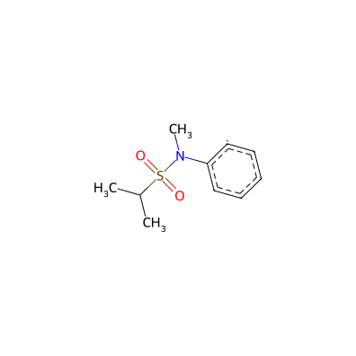 CC(C)S(=O)(=O)N(C)c1[c]cccc1